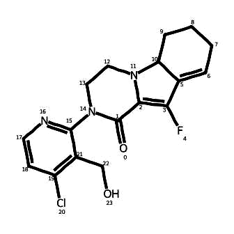 O=C1C2=C(F)C3=CCCCC3N2CCN1c1nccc(Cl)c1CO